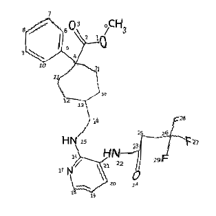 COC(=O)C1(c2ccccc2)CCC(CNc2ncccc2NC(=O)CC(F)(F)F)CC1